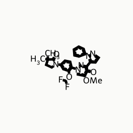 COc1cn(-c2ccc(N3CCC(C)(C)C3=O)cc2OC(F)F)nc(-c2ccnn2-c2ccccc2)c1=O